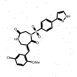 COc1ccc(Cl)cc1/C=C1\CNC(=O)CN(S(=O)(=O)c2ccc(-c3cc[nH]n3)cc2)C1=O